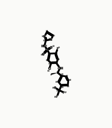 C[C@H](Nc1cc(F)c(S(=O)(=O)Nc2nccs2)cc1Cl)c1cccc(C(F)(F)F)c1